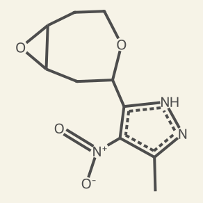 Cc1n[nH]c(C2CC3OC3CCO2)c1[N+](=O)[O-]